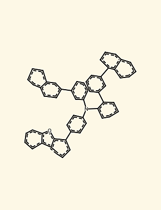 c1cc(-c2ccccc2N(c2ccc(-c3cccc4c3oc3ccccc34)cc2)c2cccc(-c3ccc4ccccc4c3)c2)cc(-c2cccc3ccccc23)c1